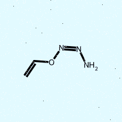 C=CO/N=N\N